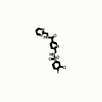 O=C(NCc1ncccn1)c1ccc(CNS(=O)(=O)c2ccc(F)c(Cl)c2)nc1